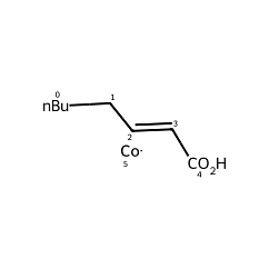 CCCCCC=CC(=O)O.[Co]